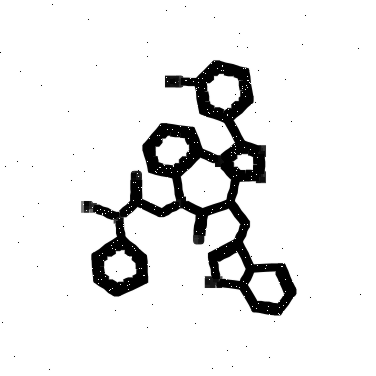 CC(C)N(C(=O)CN1C(=O)C(CC2=CNC3C=CC=CC23)c2nnc(-c3cccc(O)c3)n2-c2ccccc21)c1ccccc1